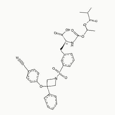 CC(OC(=O)N[C@@H](Cc1cccc(S(=O)(=O)N2CC(Oc3ccc(C#N)cc3)(c3ccccc3)C2)c1)C(=O)O)OC(=O)C(C)C